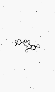 CCC(CC(C)=O)C(=O)CN1C(=O)c2ccc(OC)cc2C1=O